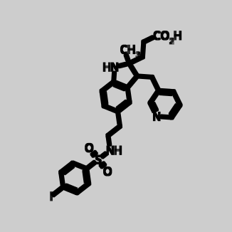 CC1(CCC(=O)O)Nc2ccc(CCNS(=O)(=O)c3ccc(I)cc3)cc2C1Cc1cccnc1